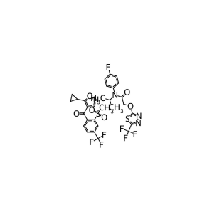 CC(C)N(C(=O)COc1nnc(C(F)(F)F)s1)c1ccc(F)cc1.CS(=O)(=O)c1cc(C(F)(F)F)ccc1C(=O)c1cnoc1C1CC1